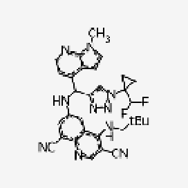 Cn1ccc2c(C(Nc3cc(C#N)c4ncc(C#N)c(NCC(C)(C)C)c4c3)c3cn(C4(C(F)F)CC4)nn3)ccnc21